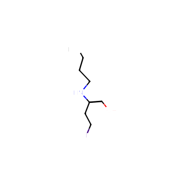 CCCCNC(CO)CCI